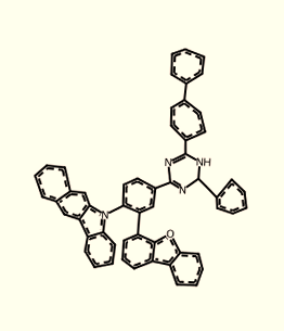 c1ccc(-c2ccc(C3=NC(c4ccc(-n5c6ccccc6c6cc7ccccc7cc65)c(-c5cccc6c5oc5ccccc56)c4)=NC(c4ccccc4)N3)cc2)cc1